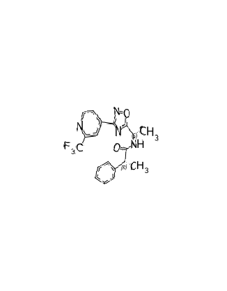 C[C@H](NC(=O)[C@H](C)c1ccccc1)c1nc(-c2ccnc(C(F)(F)F)c2)no1